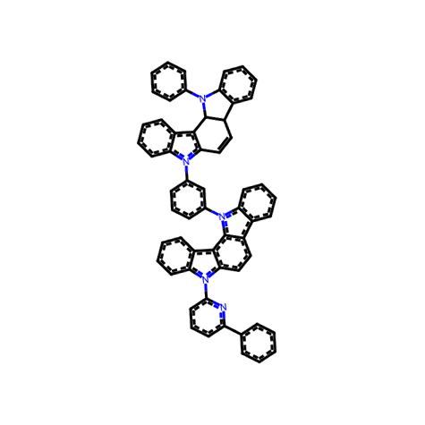 C1=CC2c3ccccc3N(c3ccccc3)C2c2c1n(-c1cccc(-n3c4ccccc4c4ccc5c(c6ccccc6n5-c5cccc(-c6ccccc6)n5)c43)c1)c1ccccc21